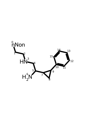 CCCCCCCCCCCNCC(N)C1CC1c1ccccc1